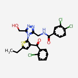 CCc1cc(C(=O)c2ccccc2Cl)c(-n2c(CO)nnc2CNC(=O)c2ccc(Cl)c(Cl)c2)s1